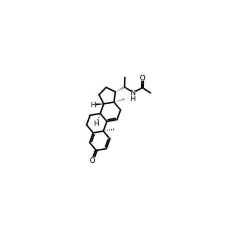 CC(=O)NC(C)[C@H]1CC[C@H]2[C@@H]3CCC4=CC(=O)C=C[C@]4(C)C3=CC[C@]12C